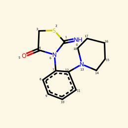 N=C1SCC(=O)N1c1ccccc1N1CCCCC1